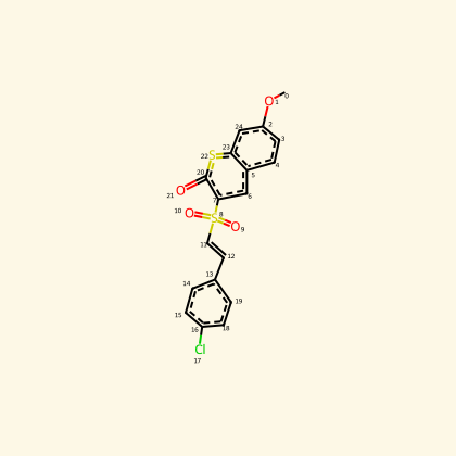 COc1ccc2cc(S(=O)(=O)C=Cc3ccc(Cl)cc3)c(=O)sc2c1